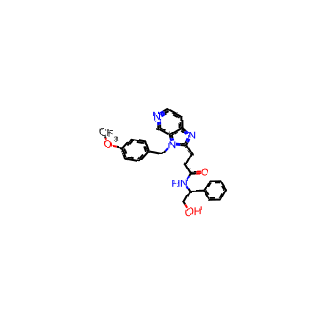 O=C(CCc1nc2ccncc2n1Cc1ccc(OC(F)(F)F)cc1)NC(CO)c1ccccc1